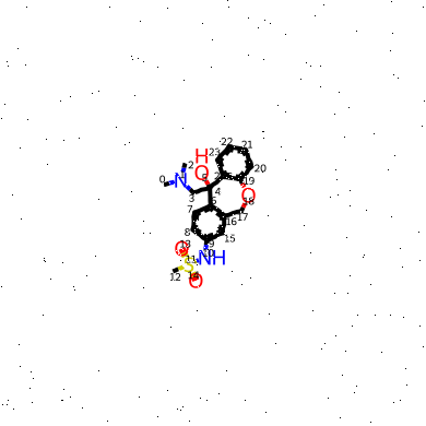 CN(C)CC1(O)c2ccc(NS(C)(=O)=O)cc2COc2ccccc21